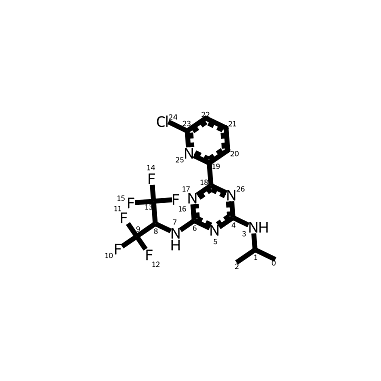 CC(C)Nc1nc(NC(C(F)(F)F)C(F)(F)F)nc(-c2cccc(Cl)n2)n1